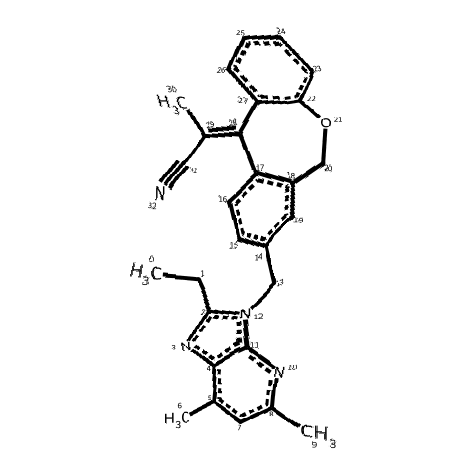 CCc1nc2c(C)cc(C)nc2n1Cc1ccc2c(c1)COc1ccccc1C2=C(C)C#N